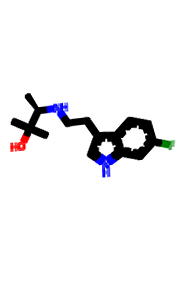 C[C@@H](NCCc1c[nH]c2cc(F)ccc12)C(C)(C)O